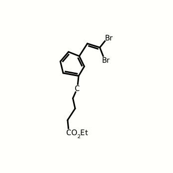 CCOC(=O)CCCCc1cccc(C=C(Br)Br)c1